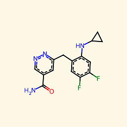 NC(=O)c1cnnc(Cc2cc(F)c(F)cc2NC2CC2)c1